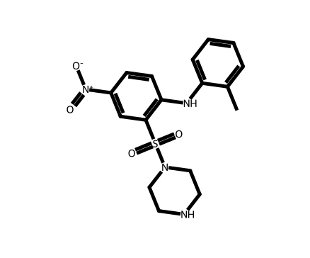 Cc1ccccc1Nc1ccc([N+](=O)[O-])cc1S(=O)(=O)N1CCNCC1